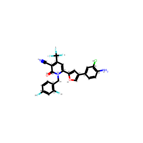 N#Cc1c(C(F)(F)F)cc(-c2cc(-c3ccc(N)c(Cl)c3)co2)n(Cc2ccc(F)cc2F)c1=O